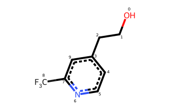 OCCc1ccnc(C(F)(F)F)c1